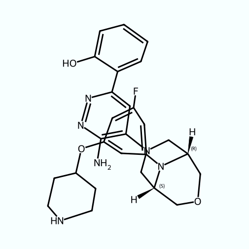 Nc1nnc(-c2ccccc2O)cc1N1C[C@H]2COC[C@@H](C1)N2c1cc(F)cc(OC2CCNCC2)c1